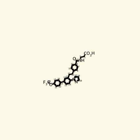 O=C(O)CCNC(=O)c1ccc(CCc2cc(-c3ccc(OC(F)(F)F)cc3)ccc2-n2cccn2)cc1